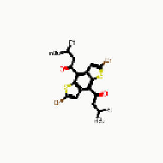 CCCCC(CC)CC(=O)c1c2cc(Br)sc2c(C(=O)CC(CC)CCCC)c2cc(Br)sc12